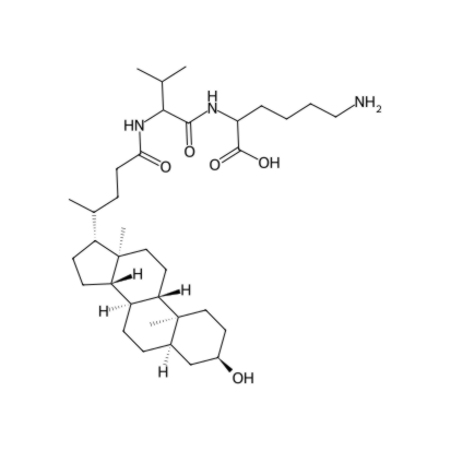 CC(C)C(NC(=O)CCC(C)[C@H]1CC[C@H]2[C@@H]3CC[C@@H]4C[C@H](O)CC[C@]4(C)[C@H]3CC[C@]12C)C(=O)NC(CCCCN)C(=O)O